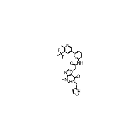 CNc1ncn(CC(=O)Nc2cccc(-c3cnc(C)c(C(F)(F)F)c3)n2)c1C(=O)NCc1ccon1